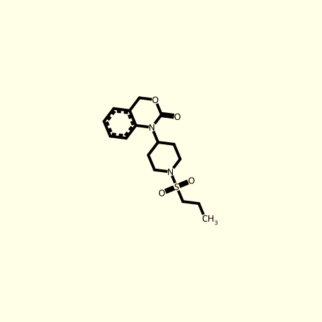 CCCS(=O)(=O)N1CCC(N2C(=O)OCc3ccccc32)CC1